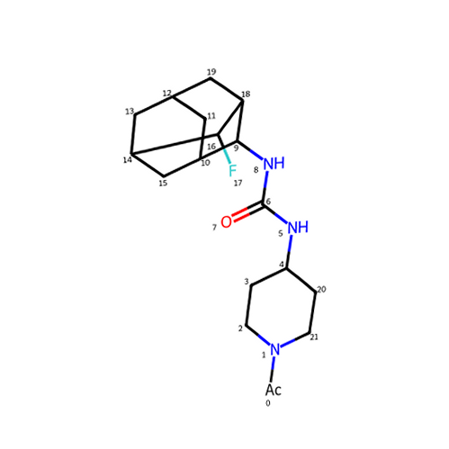 CC(=O)N1CCC(NC(=O)NC2C3CC4CC(C3)C(F)C2C4)CC1